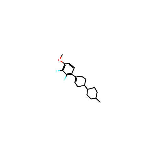 COc1ccc(C2=CCC(C3CCC(C)CC3)CC2)c(F)c1F